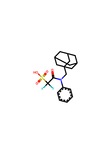 O=C(N(CC12CC3CC(CC(C3)C1)C2)c1ccccc1)C(F)(F)S(=O)(=O)O